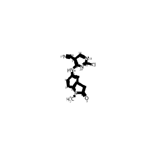 CN1C(=O)Cc2cc(Nc3nc(Cl)ncc3C#N)ccc21